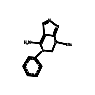 CC(C)(C)N1CN(c2ccccc2)C(N)=C2C=NN=C21